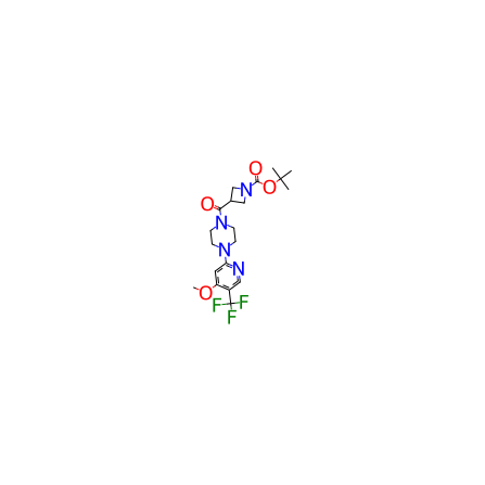 COc1cc(N2CCN(C(=O)C3CN(C(=O)OC(C)(C)C)C3)CC2)ncc1C(F)(F)F